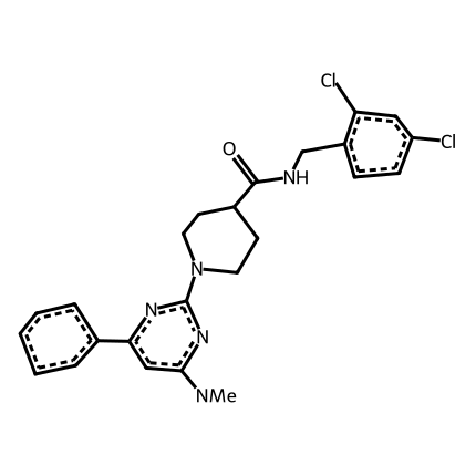 CNc1cc(-c2ccccc2)nc(N2CCC(C(=O)NCc3ccc(Cl)cc3Cl)CC2)n1